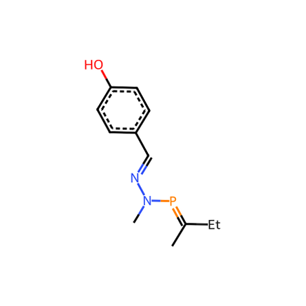 CC/C(C)=P/N(C)/N=C/c1ccc(O)cc1